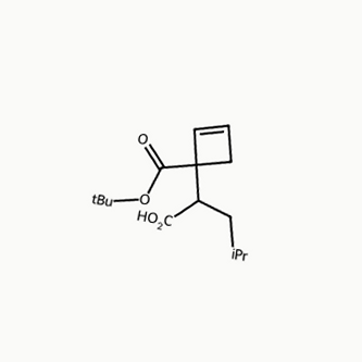 CC(C)CC(C(=O)O)C1(C(=O)OC(C)(C)C)C=CC1